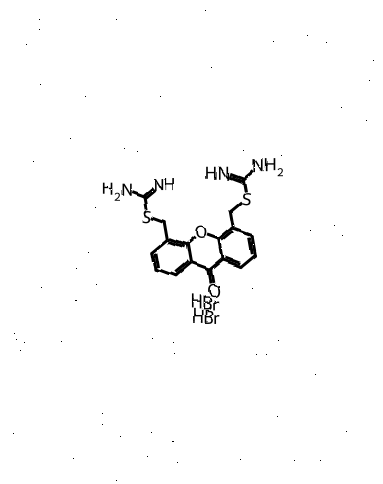 Br.Br.N=C(N)SCc1cccc2c(=O)c3cccc(CSC(=N)N)c3oc12